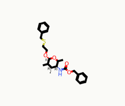 CC1[C@@H](OCCSCc2ccccc2)OC(C)[C@H](NC(=O)OCc2ccccc2)[C@@H]1C